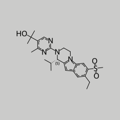 CCc1cc2cc3n(c2cc1S(C)(=O)=O)CCN(c1ncc(C(C)(C)O)c(C)n1)[C@H]3C(C)C